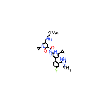 COCCNCc1cc(C(=O)Nc2cc(-c3ccc(F)cc3-c3nncn3C)cc(C3CC3)n2)c(=O)n(C2CC2)c1